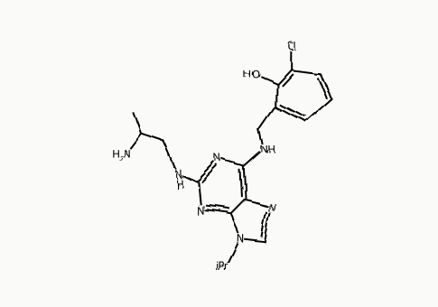 CC(N)CNc1nc(NCc2cccc(Cl)c2O)c2ncn(C(C)C)c2n1